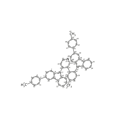 Cc1ccc(-c2ccc3c(c2)c2ccccc2n3-c2ccncc2-c2cc(C(F)(F)F)ccc2-n2c3ccccc3c3cc(-c4ccc(C)cc4)ccc32)cc1